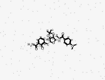 CN(C)c1ccc(C(=O)NC[C@]23CO[C@H](Cc4cccc(C(N)=O)c4Cl)[C@H]2OC(C)(C)O3)cc1